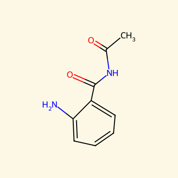 CC(=O)NC(=O)c1ccccc1N